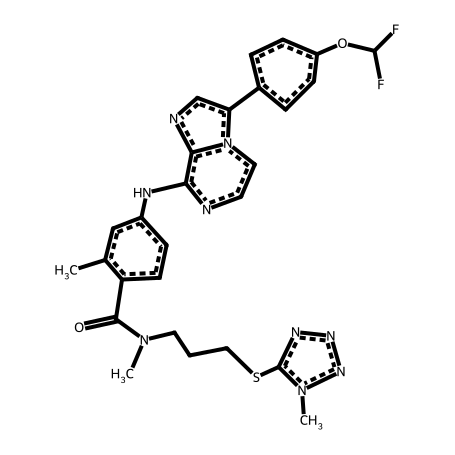 Cc1cc(Nc2nccn3c(-c4ccc(OC(F)F)cc4)cnc23)ccc1C(=O)N(C)CCCSc1nnnn1C